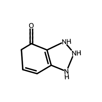 O=C1CC=CC2=C1NNN2